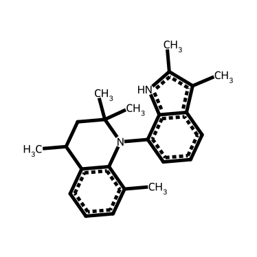 Cc1cccc2c1N(c1cccc3c(C)c(C)[nH]c13)C(C)(C)CC2C